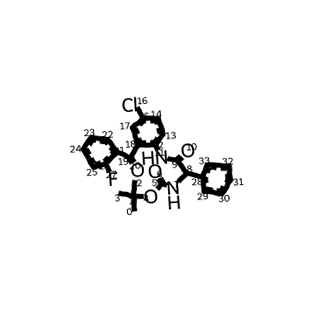 CC(C)(C)OC(=O)NC(C(=O)Nc1ccc(Cl)cc1C(=O)c1ccccc1F)c1ccccc1